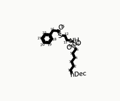 CCCCCCCCCCCCCCCCS(=O)(=O)NCCSC(=O)Cc1ccccc1